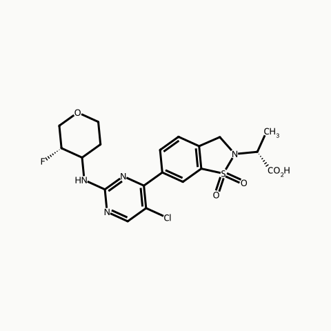 C[C@H](C(=O)O)N1Cc2ccc(-c3nc(NC4CCOC[C@H]4F)ncc3Cl)cc2S1(=O)=O